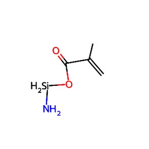 C=C(C)C(=O)O[SiH2]N